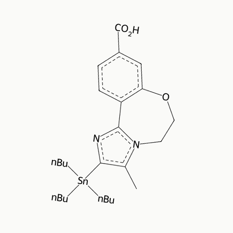 CCC[CH2][Sn]([CH2]CCC)([CH2]CCC)[c]1nc2n(c1C)CCOc1cc(C(=O)O)ccc1-2